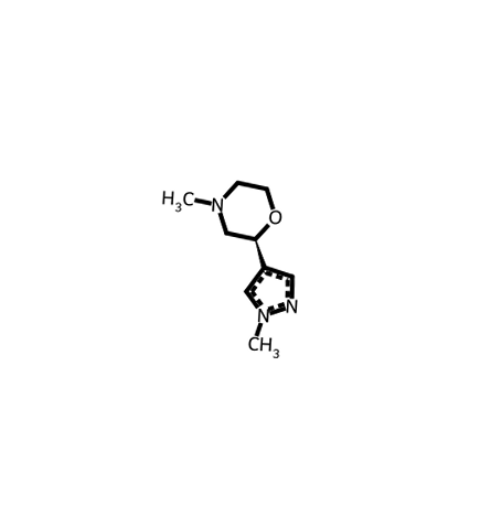 CN1CCO[C@@H](c2cnn(C)c2)C1